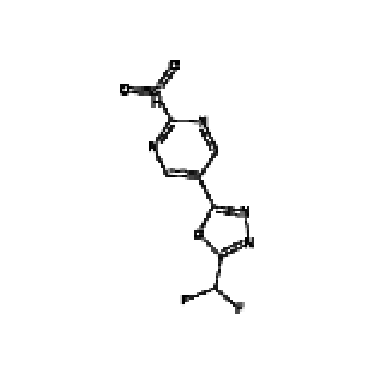 O=[SH](=O)c1ncc(-c2nnc(C(F)F)o2)cn1